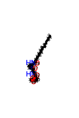 CCCCCCCCC=CCCCCCCCC(=O)NC[C@@H]1CCCN1C(=O)CCNC(=O)C1OC(C)(C)OCC1(C)C